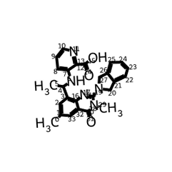 Cc1cc(C(C)Nc2cccnc2C(=O)O)c2nc(N3Cc4ccccc4C3)n(C)c(=O)c2c1